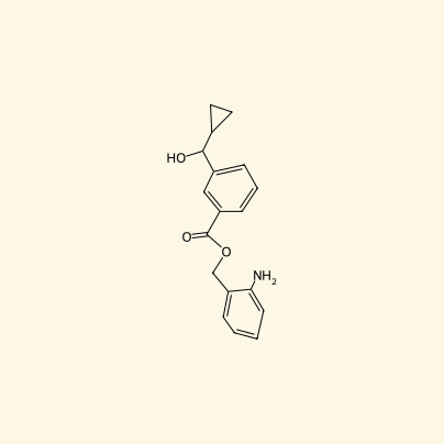 Nc1ccccc1COC(=O)c1cccc(C(O)C2CC2)c1